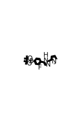 CN1CC=CC1c1ncc(-c2ccc(B3OC(C)(C)C(C)(C)O3)cc2F)[nH]1